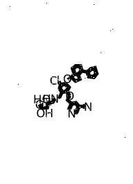 N#Cc1cncc(COc2cc(O[C@@H]3CCc4c(-c5ccccc5)cccc43)c(Cl)cc2CNC[C@@H](O)CC(=O)O)c1